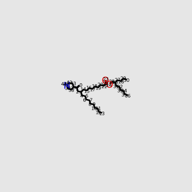 C=C(CC(CCCCCCCCCC)CCCCCCCCC(=O)OCC(CCCC)CCCCCC)C1CCN(C)CC1